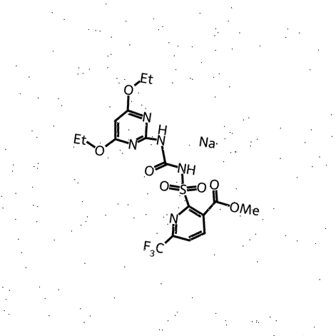 CCOc1cc(OCC)nc(NC(=O)NS(=O)(=O)c2nc(C(F)(F)F)ccc2C(=O)OC)n1.[Na]